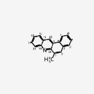 Cc1cc2ccccc2c2cc3ccccc3nc12